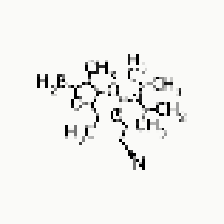 BC1OC(CC)C(OP(OCCC#N)N(C(C)C)C(C)C)C1C